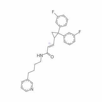 O=C(/C=C/C1CC1(c1cccc(F)c1)c1cccc(F)c1)NCCCCc1cccnc1